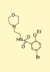 CCOc1ccc(Br)cc1S(=O)(=O)NCCN1CCOCC1